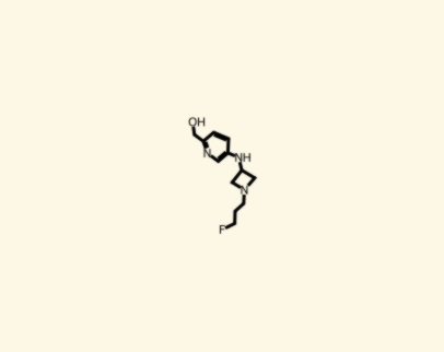 OCc1ccc(NC2CN(CCCF)C2)cn1